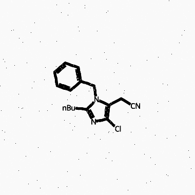 CCCCc1nc(Cl)c(CC#N)n1Cc1ccccc1